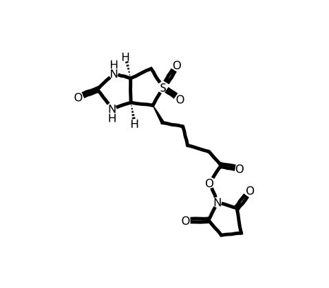 O=C1N[C@H]2[C@H](CS(=O)(=O)[C@H]2CCCCC(=O)ON2C(=O)CCC2=O)N1